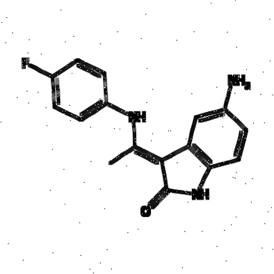 CC(Nc1ccc(F)cc1)=C1C(=O)Nc2ccc(N)cc21